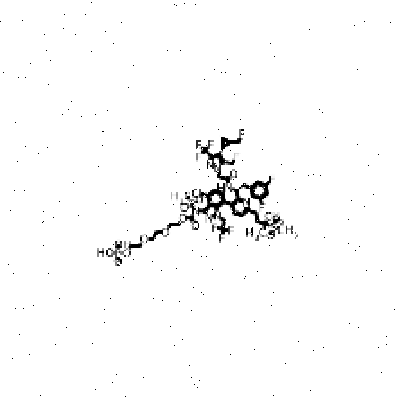 CC(C)(CCc1ccc(-c2ccc(Cl)c3c(N(C(=O)OCCOCCOCCOP(=O)(O)O)S(C)(=O)=O)nn(CC(F)(F)F)c23)c([C@H](Cc2cc(F)cc(F)c2)NC(=O)Cn2nc(C(F)(F)F)c([C@H]3CC3CF)c2CF)n1)S(C)(=O)=O